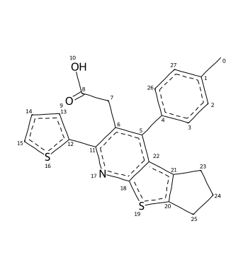 Cc1ccc(-c2c(CC(=O)O)c(-c3cccs3)nc3sc4c(c23)CCC4)cc1